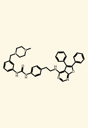 CN1CCN(Cc2cccc(NC(=O)Nc3ccc(CCNc4ncnc5oc(-c6ccccc6)c(-c6ccccc6)c45)cc3)c2)CC1